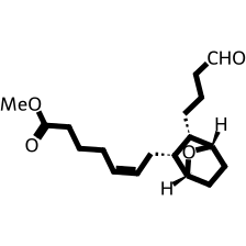 COC(=O)CCC/C=C\C[C@@H]1[C@H](CCCC=O)[C@@H]2CC[C@H]1O2